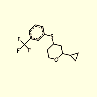 FC(F)(F)c1cccc(SC2CCOC(C3CC3)C2)c1